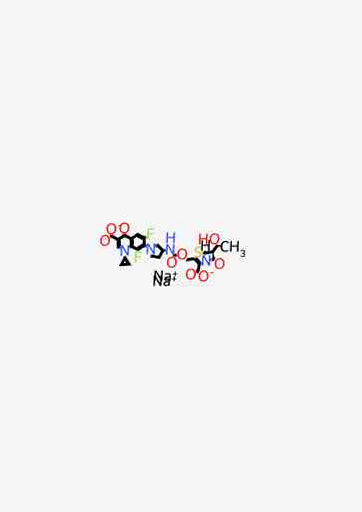 C[C@H](O)[C@H]1C(=O)N2C(C(=O)[O-])=C(COC(=O)NC3CCN(c4c(F)cc5c(=O)c(C(=O)[O-])cn(C6CC6)c5c4F)C3)S[C@@H]12.[Na+].[Na+]